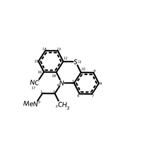 CNCC(C)N1c2ccccc2Sc2cccc(C#N)c21